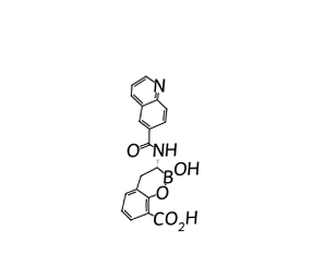 O=C(N[C@H]1Cc2cccc(C(=O)O)c2OB1O)c1ccc2ncccc2c1